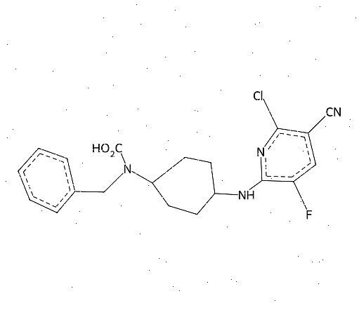 N#Cc1cc(F)c(NC2CCC(N(Cc3ccccc3)C(=O)O)CC2)nc1Cl